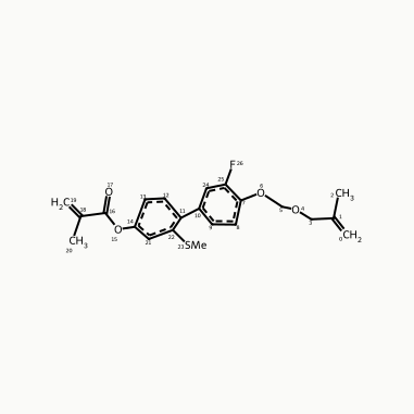 C=C(C)COCOc1ccc(-c2ccc(OC(=O)C(=C)C)cc2SC)cc1F